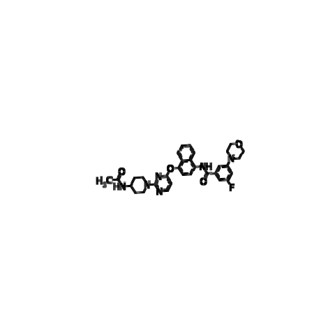 CC(=O)NC1CCN(c2nccc(Oc3ccc(NC(=O)c4cc(F)cc(N5CCOCC5)c4)c4ccccc34)n2)CC1